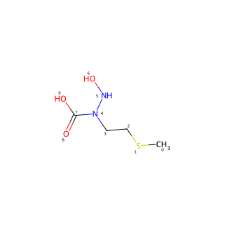 CSCCN(NO)C(=O)O